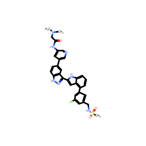 CN(C)CC(=O)Nc1cncc(-c2ccc3[nH]nc(-c4cc5c(-c6cc(F)cc(CNS(C)(=O)=O)c6)cccc5[nH]4)c3c2)c1